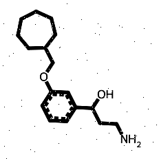 NCCC(O)c1cccc(OCC2CCCCCC2)c1